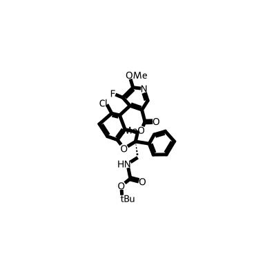 COC(=O)c1cnc(OC)c(F)c1-c1c(Cl)ccc2c1C[C@@](CNC(=O)OC(C)(C)C)(c1ccccc1)O2